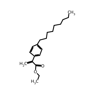 C=C(C(=O)OCC)c1ccc(CCCCCCCCC)cc1